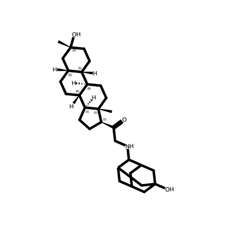 C[C@@]1(O)CC[C@H]2[C@H](CC[C@@H]3[C@@H]2CC[C@]2(C)[C@@H](C(=O)CNC4C5CC6CC4CC(O)(C6)C5)CC[C@@H]32)C1